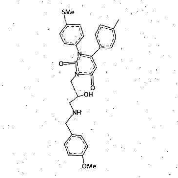 COc1ccc(CNCC(O)Cn2c(=O)cc(-c3ccc(C)cc3)n(-c3ccc(SC)cc3)c2=O)cc1